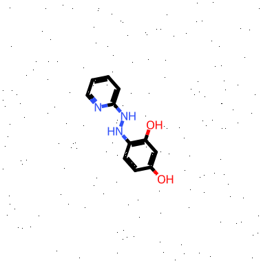 Oc1ccc(NNc2ccccn2)c(O)c1